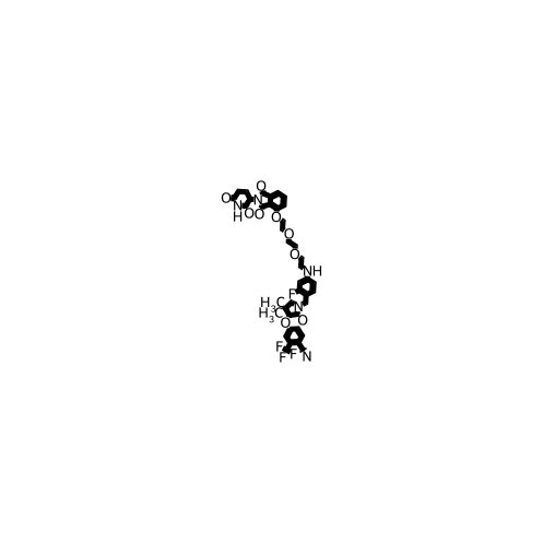 CC1(C)CN(Cc2ccc(NCCOCCOCCOc3cccc4c3C(=O)N(C3CCC(=O)NC3=O)C4=O)cc2F)C(=O)C1Oc1ccc(C#N)c(C(F)(F)F)c1